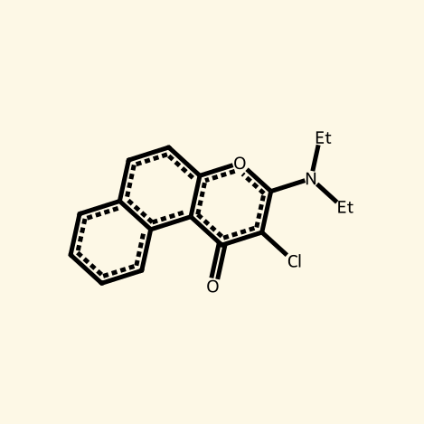 CCN(CC)c1oc2ccc3ccccc3c2c(=O)c1Cl